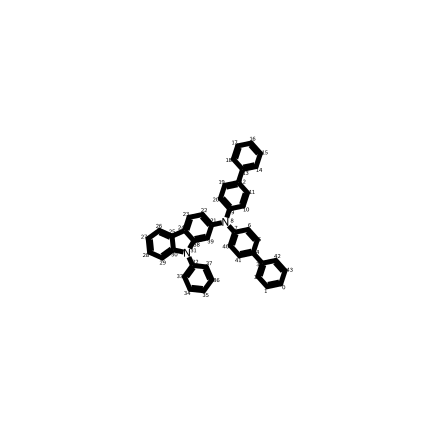 c1ccc(-c2ccc(N(c3ccc(-c4ccccc4)cc3)c3ccc4c5ccccc5n(-c5ccccc5)c4c3)cc2)cc1